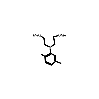 COCCN(CCOC)c1cc(C)ccc1C